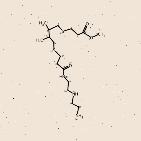 COC(=O)CCSCC(C)C(C)CSCCC(=O)NCCNCCN